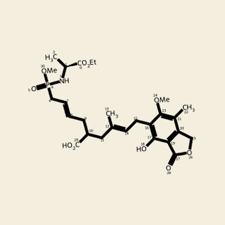 CCOC(=O)[C@H](C)NP(=O)(C/C=C/CC(C/C(C)=C/Cc1c(O)c2c(c(C)c1OC)COC2=O)C(=O)O)OC